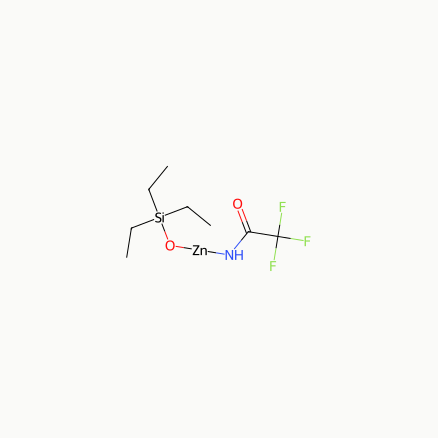 CC[Si](CC)(CC)[O][Zn][NH]C(=O)C(F)(F)F